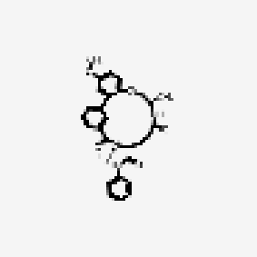 COc1ccc2c(c1)-c1cccc(c1)C(=O)N(C)[C@H](C(=O)Nc1ccccc1)CCC(=O)N[C@H](C)CO2